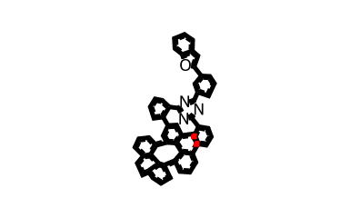 c1ccc(-c2nc(-c3cccc(-c4cc5ccccc5o4)c3)nc(-c3ccccc3-c3cc4ccc5cccc6c7cccc8ccc9cccc(c(c3)c4c56)c9c87)n2)cc1